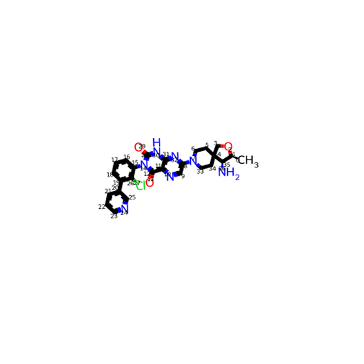 C[C@@H]1OCC2(CCN(c3cnc4c(=O)n(-c5cccc(-c6cccnc6)c5Cl)c(=O)[nH]c4n3)CC2)[C@@H]1N